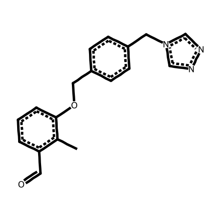 Cc1c(C=O)cccc1OCc1ccc(Cn2cnnc2)cc1